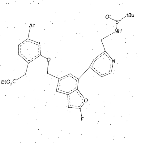 CCOC(=O)Cc1ccc(C(C)=O)cc1OCc1cc(-c2ccnc(CN[S+]([O-])C(C)(C)C)c2)c2oc(F)cc2c1